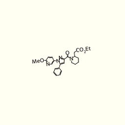 CCOC(=O)CC1CCCCN1C(=O)c1cc(-c2ccccc2)n(-c2ccc(OC)nc2)n1